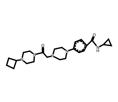 O=C(NC1CC1)c1ccc(N2CCN(CC(=O)N3CCN(C4CCC4)CC3)CC2)cc1